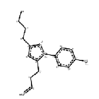 CCCCc1cc(CCC=O)n(-c2ccc(Cl)cc2)n1